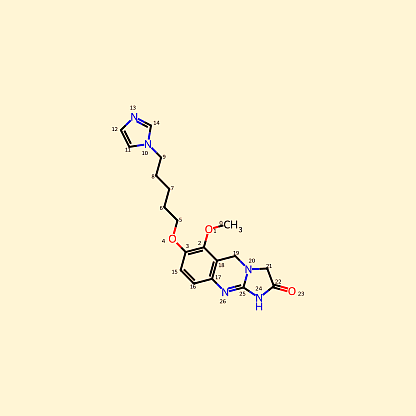 COc1c(OCCCCCn2ccnc2)ccc2c1CN1CC(=O)NC1=N2